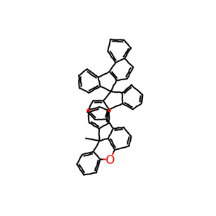 CC1(c2ccccc2)c2ccccc2Oc2cccc(-c3cccc4c3-c3ccccc3C43c4ccccc4-c4c3ccc3ccccc43)c21